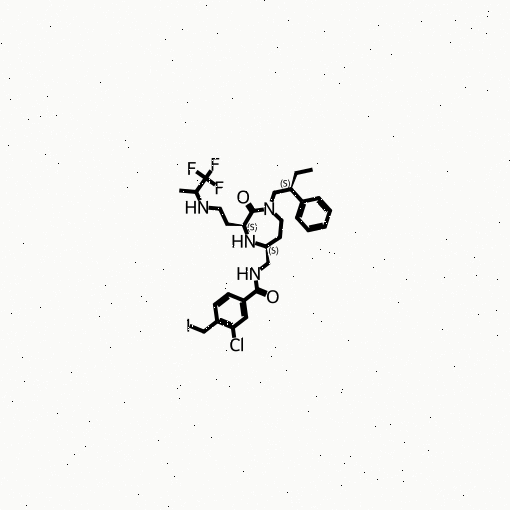 CC[C@H](CN1CC[C@@H](CNC(=O)c2ccc(CI)c(Cl)c2)N[C@@H](CCNC(C)C(F)(F)F)C1=O)c1ccccc1